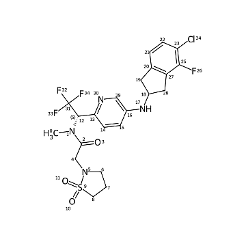 CN(C(=O)CN1CCCS1(=O)=O)[C@@H](c1ccc(NC2Cc3ccc(Cl)c(F)c3C2)cn1)C(F)(F)F